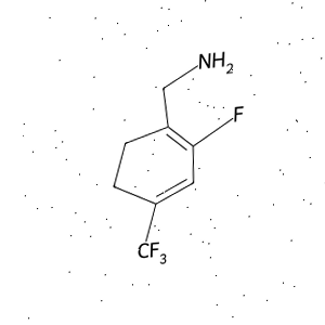 NCC1=C(F)C=C(C(F)(F)F)CC1